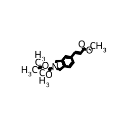 COC(=O)C=Cc1ccc2c(c1)CN(C(=O)OC(C)(C)C)C2